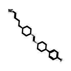 N#CC=CCC[C@H]1CC[C@H](/C=C/[C@H]2CC[C@H](c3ccc(F)cc3)CC2)CC1